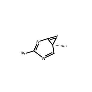 CC(C)C1=NC2=I[C@@]2(C)C=N1